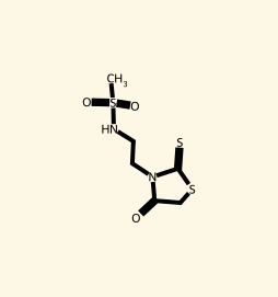 CS(=O)(=O)NCCN1C(=O)CSC1=S